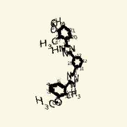 COc1cccc(-c2nc(-c3cccc(-c4n[nH]c(-c5cccc(OC)c5C)n4)c3)n[nH]2)c1C